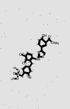 COC(=O)c1cc(-c2csc(Nc3ccc(Cl)c(Cl)c3Cc3ccc(CP(=O)(OF)OF)c(Br)c3)n2)ccc1O